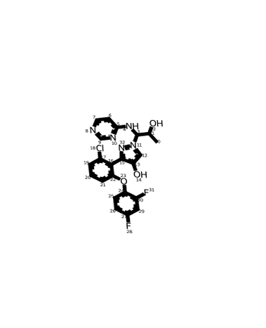 CC(O)C(Nc1ccncn1)n1cc(O)c(-c2c(Cl)cccc2Oc2ccc(F)cc2F)n1